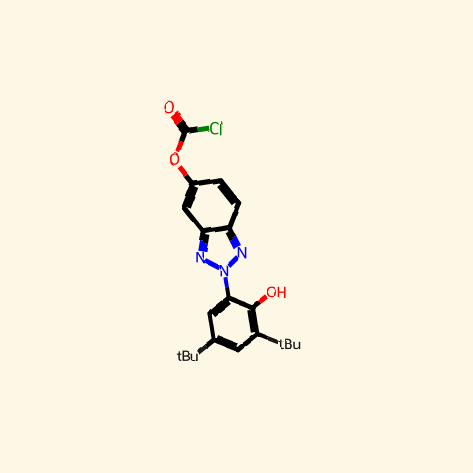 CC(C)(C)c1cc(-n2nc3ccc(OC(=O)Cl)cc3n2)c(O)c(C(C)(C)C)c1